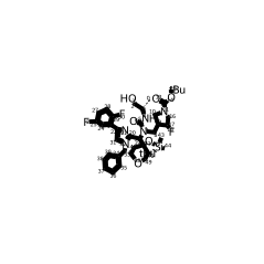 C[C@@H](CO)NC(=O)N(CC1CN(C(=O)OC(C)(C)C)CC1F)C(c1nc(-c2cc(F)ccc2F)cn1Cc1ccccc1)C1(O[Si](C)(C)C(C)(C)C)CCOCC1